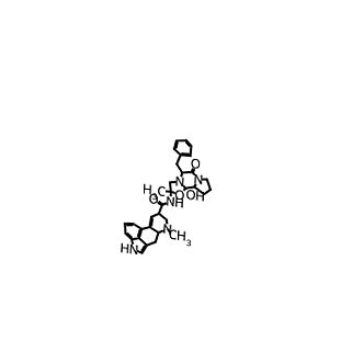 CN1CC(C(=O)NC2(C)CN3C(Cc4ccccc4)C(=O)N4CCCC4C3(O)O2)C=C2c3cccc4[nH]cc(c34)CC21